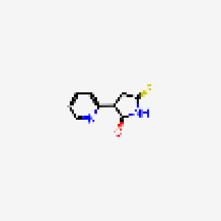 O=C1NC(=S)CC1c1ccccn1